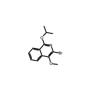 COc1c(Br)nc(OC(C)C)c2ccccc12